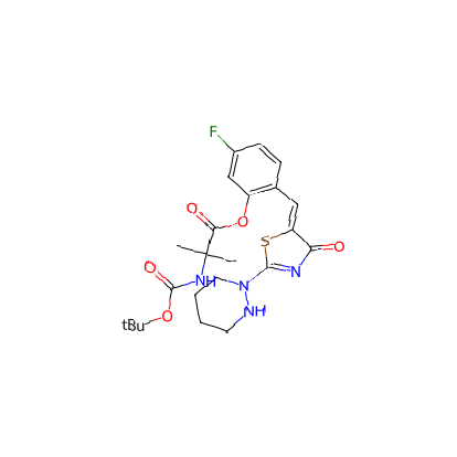 CC(C)(C)OC(=O)NC(C)(C)C(=O)Oc1cc(F)ccc1/C=C1\SC(N2CCCCN2)=NC1=O